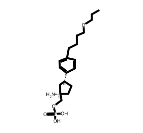 CCCOCCCCc1ccc([C@@H]2CC[C@@](N)(COP(=O)(O)O)C2)cc1